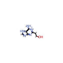 Nc1nc(CCO)nc2nc[nH]c12